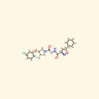 O=C(NCC(=O)N1CCC(Oc2cc(F)ccc2F)C1)c1cc(-c2ccccc2)on1